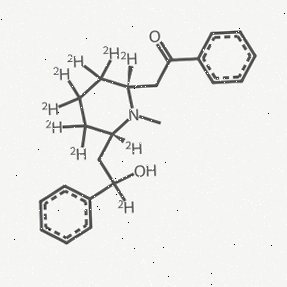 [2H]C(O)(C[C@@]1([2H])N(C)[C@@]([2H])(CC(=O)c2ccccc2)C([2H])([2H])C([2H])([2H])C1([2H])[2H])c1ccccc1